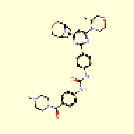 C[C@@H]1COCCN1c1cc(N2C3CCC2COC3)nc(-c2ccc(NC(=O)Nc3ccc(C(=O)N4CCN(C)CC4)cc3)cc2)n1